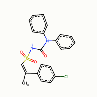 CC(=CS(=O)(=O)NC(=O)N(c1ccccc1)c1ccccc1)c1ccc(Cl)cc1